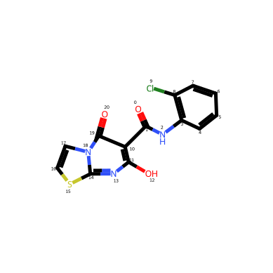 O=C(Nc1ccc[c]c1Cl)c1c(O)nc2sccn2c1=O